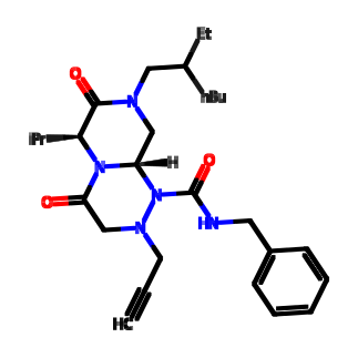 C#CCN1CC(=O)N2[C@@H](C(C)C)C(=O)N(CC(CC)CCCC)C[C@@H]2N1C(=O)NCc1ccccc1